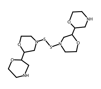 C1COC(C2CN(SSN3CCOC(C4CNCCO4)C3)CCO2)CN1